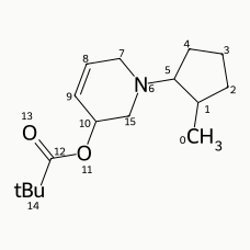 CC1CCCC1N1CC=CC(OC(=O)C(C)(C)C)C1